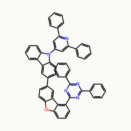 c1ccc(-c2cc(-n3c4ccccc4c4cc(-c5ccc6oc7cccc(-c8nc(-c9ccccc9)nc(-c9ccccc9)n8)c7c6c5)ccc43)cc(-c3ccccc3)n2)cc1